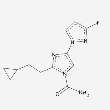 NC(=O)n1cc(-n2ccc(F)n2)nc1CCC1CC1